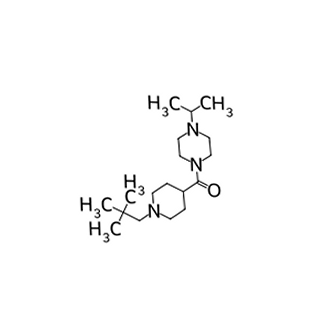 CC(C)N1CCN(C(=O)C2CCN(CC(C)(C)C)CC2)CC1